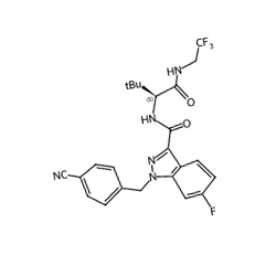 CC(C)(C)[C@H](NC(=O)c1nn(Cc2ccc(C#N)cc2)c2cc(F)ccc12)C(=O)NCC(F)(F)F